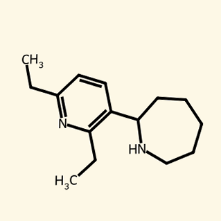 CCc1ccc(C2CCCCCN2)c(CC)n1